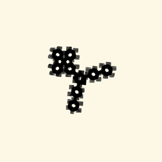 c1ccc(-c2ccc(-c3nc(-c4ccc(-c5ccccc5)cc4)nc(-c4ccc5c(c4)-c4ccccc4C54c5ccccc5-c5ccccc54)n3)cc2)cc1